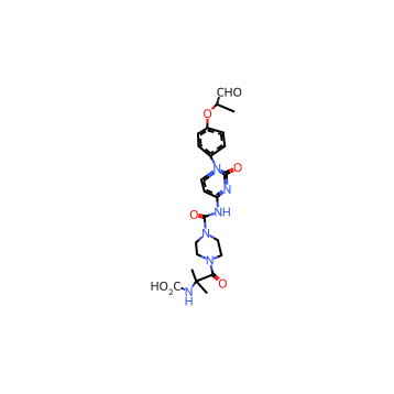 CC(C=O)Oc1ccc(-n2ccc(NC(=O)N3CCN(C(=O)C(C)(C)NC(=O)O)CC3)nc2=O)cc1